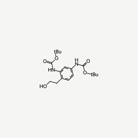 CC(C)(C)OC(=O)Nc1ccc(CCO)c(NC(=O)OC(C)(C)C)c1